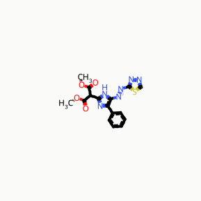 COC(=O)C(C(=O)OC)c1nc(-c2ccccc2)c(/N=N/c2nncs2)[nH]1